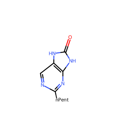 CCCCCc1ncc2[nH]c(=O)[nH]c2n1